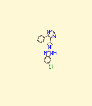 Clc1ccc2nc(N3CC(c4nccnc4-c4ccccc4)C3)[nH]c2c1